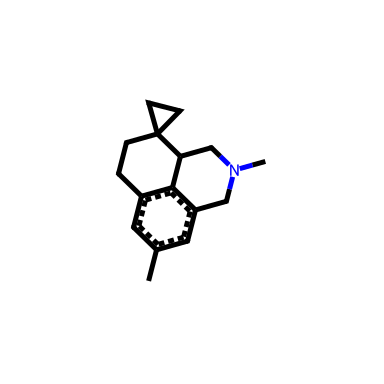 Cc1cc2c3c(c1)CN(C)CC3C1(CC2)CC1